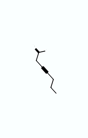 CCCC#CCC(=O)[S]